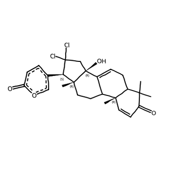 CC1(C)C(=O)C=C[C@]2(C)C3CC[C@]4(C)[C@@H](c5ccc(=O)oc5)C(Cl)(Cl)C[C@]4(O)C3=CCC12